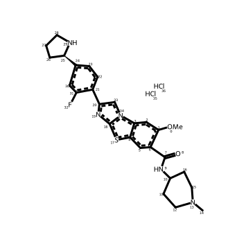 COc1cc2c(cc1C(=O)NC1CCN(C)CC1)sc1nc(-c3ccc([C@H]4CCCN4)cc3F)cn12.Cl.Cl